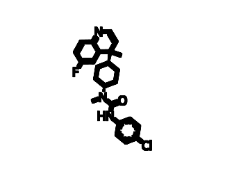 CN(C(=O)Nc1ccc(Cl)cc1)[C@H]1CC[C@H](C2(C)C=CN=C3C=CC(F)=CC32)CC1